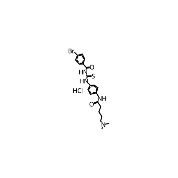 CN(C)CCCCC(=O)Nc1ccc(NC(=S)NC(=O)c2ccc(Br)cc2)cc1.Cl